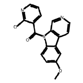 COc1ccc2c(c1)c1ccncc1n2C(=O)c1cccnc1Cl